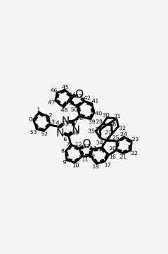 c1ccc(-c2nc(-c3cccc4c3oc3c5c(ccc34)-c3ccccc3C53C4CC5CC(C4)CC3C5)nc(-c3cccc4oc5ccccc5c34)n2)cc1